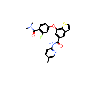 Cc1ccc(NC(=O)c2cc(Oc3ccc(C(=O)N(C)C)c(F)c3)c3sccc3c2)nc1